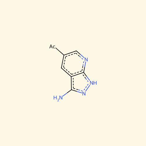 CC(=O)c1cnc2[nH]nc(N)c2c1